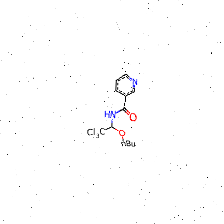 CCCCOC(NC(=O)c1cccnc1)C(Cl)(Cl)Cl